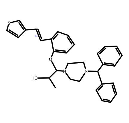 CC(O)C(Oc1ccccc1/C=C/c1ccsc1)N1CCN(C(c2ccccc2)c2ccccc2)CC1